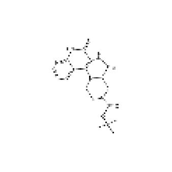 CC(C)(C)OC(=O)N1CCN2c3c(c(=O)[nH]c4ncccc34)NC(=O)C2C1